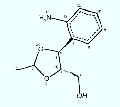 CC1O[C@@H](CO)[C@H](c2ccccc2N)O1